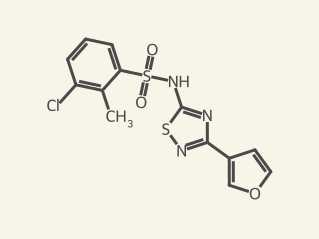 Cc1c(Cl)cccc1S(=O)(=O)Nc1nc(-c2ccoc2)ns1